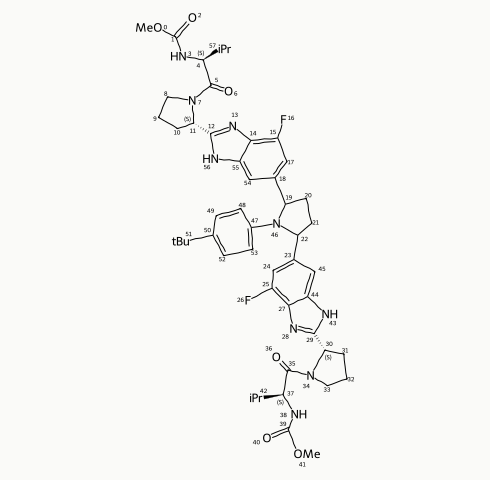 COC(=O)N[C@H](C(=O)N1CCC[C@H]1c1nc2c(F)cc(C3CCC(c4cc(F)c5nc([C@@H]6CCCN6C(=O)[C@@H](NC(=O)OC)C(C)C)[nH]c5c4)N3c3ccc(C(C)(C)C)cc3)cc2[nH]1)C(C)C